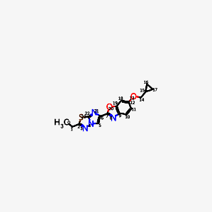 CCc1nn2cc(-c3nc4ccc(OCC5CC5)cc4o3)nc2s1